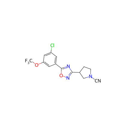 N#CN1CCC(c2noc(-c3cc(Cl)cc(OC(F)(F)F)c3)n2)C1